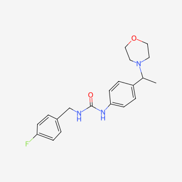 CC(c1ccc(NC(=O)NCc2ccc(F)cc2)cc1)N1CCOCC1